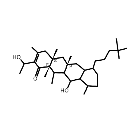 CC1=C(C(C)O)C(=O)[C@@]2(C)C(C)C3C(O)C4C(C)CCC(CCCC(C)(C)C)C4C[C@@]3(C)C[C@@]2(C)C1